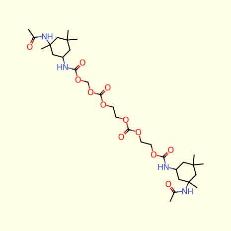 CC(=O)NC1(C)CC(NC(=O)OCCOC(=O)OCCOC(=O)OCOC(=O)NC2CC(C)(C)CC(C)(NC(C)=O)C2)CC(C)(C)C1